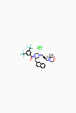 CC1(C)COCCN1CC#CCN1CCN(C(=O)c2cc(C(F)(F)F)cc(C(F)(F)F)c2)[C@H](Cc2ccc3ccccc3c2)C1.Cl.Cl